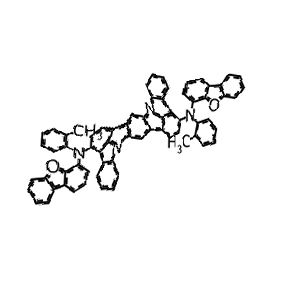 Cc1ccccc1N(c1cccc2c1oc1ccccc12)c1ccc2c3cc4c(cc3n3c5ccccc5c1c23)c1ccc(N(c2ccccc2C)c2cccc3c2oc2ccccc23)c2c3ccccc3n4c12